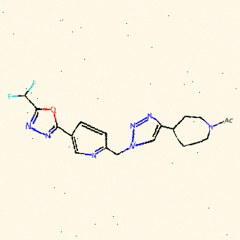 CC(=O)N1CCC(c2cn(Cc3ccc(-c4nnc(C(F)F)o4)cn3)nn2)CC1